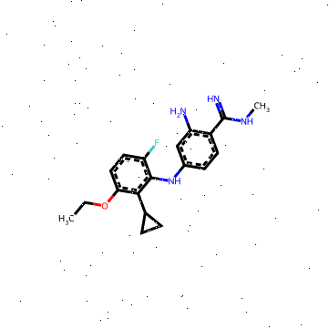 CCOc1ccc(F)c(Nc2ccc(C(=N)NC)c(N)c2)c1C1CC1